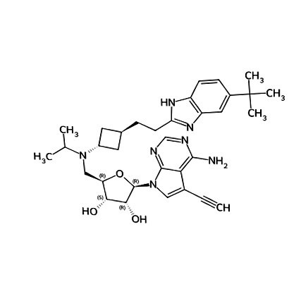 C#Cc1cn([C@@H]2O[C@H](CN(C(C)C)[C@H]3C[C@H](CCc4nc5cc(C(C)(C)C)ccc5[nH]4)C3)[C@@H](O)[C@H]2O)c2ncnc(N)c12